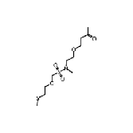 CSCCOCS(=O)(=O)N(C)CCOCCC(C)=O